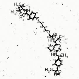 Cc1ncoc1-c1ccc([C@H](C)NC(=O)[C@@H]2CCCN2C(=O)[C@@H](NC(=O)COCCCCCOc2ccc(C(=O)NC3C(C)(C)CC3(C)C)cc2)C(C)(C)C)cc1